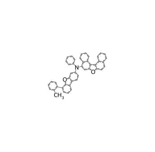 Cc1ccccc1-c1cccc2c1oc1cc(N(c3ccccc3)c3cc4oc5ccc6ccccc6c5c4c4ccccc34)ccc12